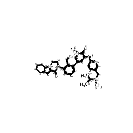 CCc1c(-c2cc(Nc3ccc(CN(C)C(C)C)cn3)c(=O)n(C)c2)cccc1N1CCn2c(cc3c2CCCC3)C1=O